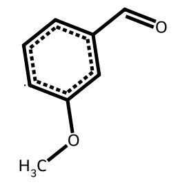 COc1[c]ccc(C=O)c1